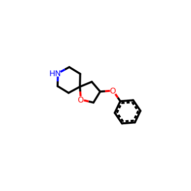 c1ccc(OC2COC3(CCNCC3)C2)cc1